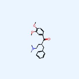 COc1ccc(C(=O)C(CCN(C)C)Cc2ccccc2)cc1OC